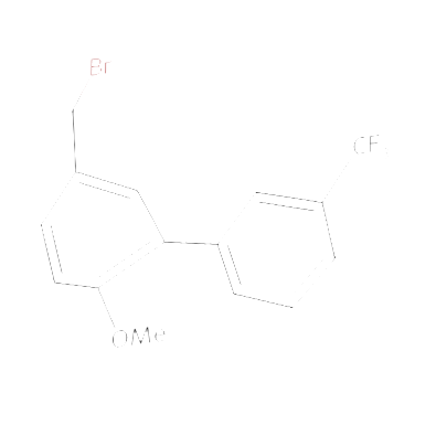 COc1ccc(CBr)cc1-c1cccc(C(F)(F)F)c1